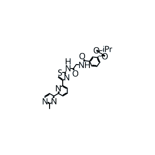 Cc1nccc(-c2cccc(-c3csc(NC(=O)CNC(=O)c4cccc(S(=O)(=O)C(C)C)c4)n3)n2)n1